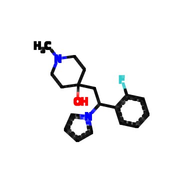 CN1CCC(O)(CC(c2ccccc2F)n2cccc2)CC1